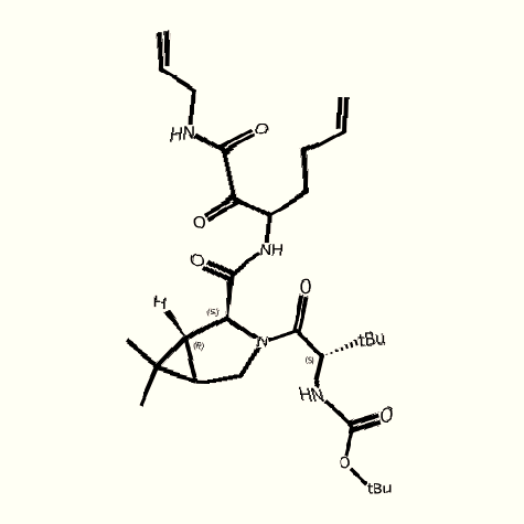 C=CCCC(NC(=O)[C@@H]1[C@@H]2C(CN1C(=O)[C@@H](NC(=O)OC(C)(C)C)C(C)(C)C)C2(C)C)C(=O)C(=O)NCC=C